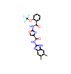 Cc1cc2nc(NC(=O)c3coc(NC(=O)c4ccccc4OC(F)(F)F)n3)[nH]c2cc1C